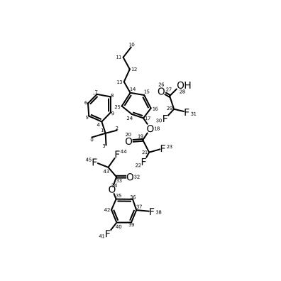 CC(C)(C)c1cc[c]cc1.CCCCc1ccc(OC(=O)C(F)F)cc1.O=C(O)C(F)F.O=C(Oc1cc(F)cc(F)c1)C(F)F